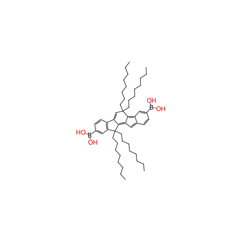 CCCCCCCCC1(CCCCCCCC)C=C2C(=C3C=c4ccc(B(O)O)cc4=C31)C(CCCCCCCC)(CCCCCCCC)c1cc(B(O)O)ccc12